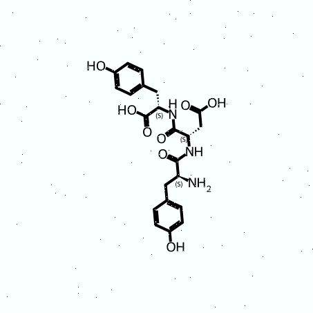 N[C@@H](Cc1ccc(O)cc1)C(=O)N[C@@H](CC(=O)O)C(=O)N[C@@H](Cc1ccc(O)cc1)C(=O)O